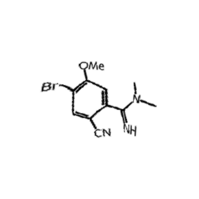 COc1cc(C(=N)N(C)C)c(C#N)cc1Br